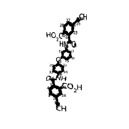 C#Cc1ccc(C(=O)Nc2ccc(Oc3cccc(NC(=O)c4cc(C#C)ccc4C(=O)O)c3)cc2)c(C(=O)O)c1